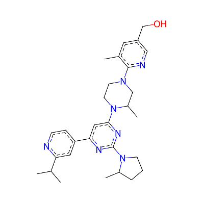 Cc1cc(CO)cnc1N1CCN(c2cc(-c3ccnc(C(C)C)c3)nc(N3CCCC3C)n2)C(C)C1